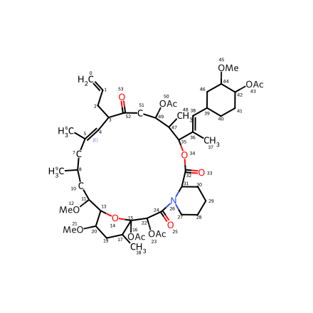 C=CCC1/C=C(\C)CC(C)CC(OC)C2OC(OC(C)=O)(C(C)CC2OC)C(OC(C)=O)C(=O)N2CCCCC2C(=O)OC(C(C)=CC2CCC(OC(C)=O)C(OC)C2)C(C)C(OC(C)=O)CC1=O